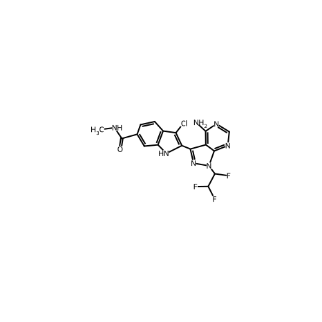 CNC(=O)c1ccc2c(Cl)c(-c3nn(C(F)C(F)F)c4ncnc(N)c34)[nH]c2c1